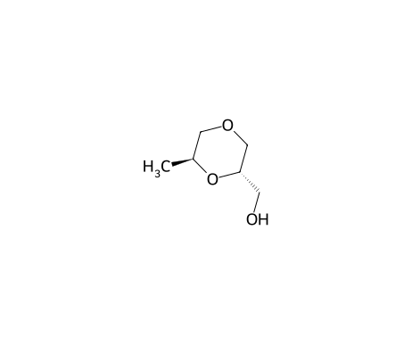 C[C@H]1COC[C@H](CO)O1